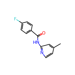 Cc1ccnc(NC(=O)c2ccc(F)cc2)c1